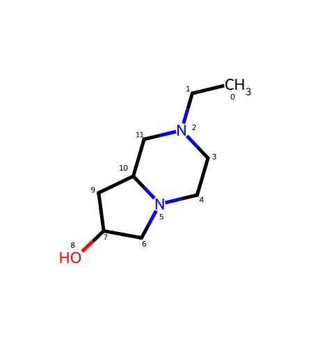 CCN1CCN2CC(O)CC2C1